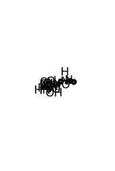 COC(=O)c1c(C(F)(F)F)[nH]c2c(O)cc3c(c12)C(CCl)CN3C(=O)c1cc2cc(NC(=O)c3cc4ccccc4cn3)ccc2[nH]1